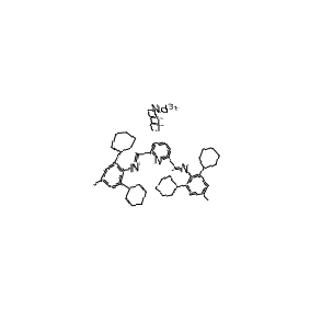 CC(=Nc1c(C2CCCCC2)cc(C)cc1C1CCCCC1)c1cccc(C(C)=Nc2c(C3CCCCC3)cc(C)cc2C2CCCCC2)n1.[Cl-].[Cl-].[Cl-].[Nd+3]